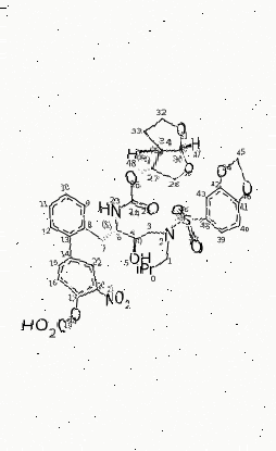 CC(C)CN(C[C@@H](O)[C@H](Cc1ccccc1-c1ccc(OC(=O)O)c([N+](=O)[O-])c1)NC(=O)O[C@H]1CO[C@H]2OCC[C@H]21)S(=O)(=O)c1ccc2c(c1)OCO2